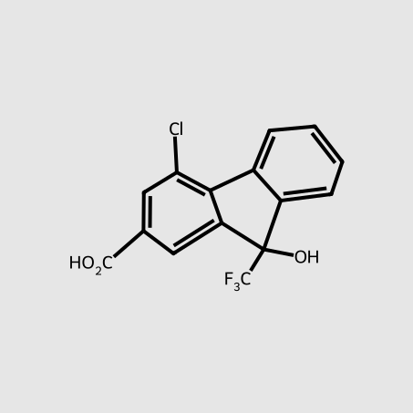 O=C(O)c1cc(Cl)c2c(c1)C(O)(C(F)(F)F)c1ccccc1-2